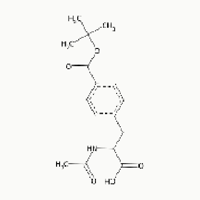 CC(=O)NC(Cc1ccc(C(=O)OC(C)(C)C)cc1)C(=O)O